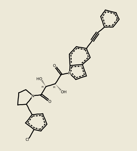 O=C([C@H](O)[C@@H](O)C(=O)n1ccc2cc(C#Cc3ccccc3)ccc21)N1CCCC1c1cccc(Cl)c1